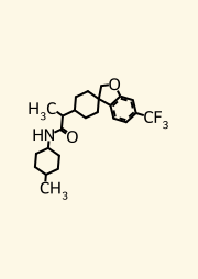 CC1CCC(NC(=O)C(C)C2CCC3(CC2)COc2cc(C(F)(F)F)ccc23)CC1